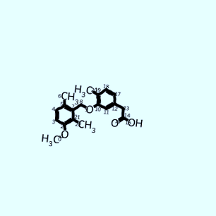 COc1ccc(C)c(COc2cc(CC(=O)O)ccc2C)c1C